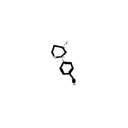 N#Cc1ccc([C@H]2C[C@@H](F)CCO2)cc1